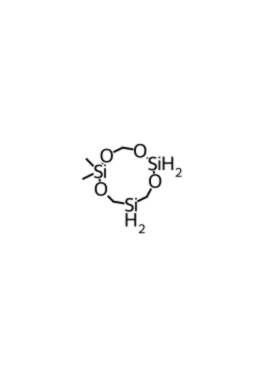 C[Si]1(C)OCO[SiH2]OC[SiH2]CO1